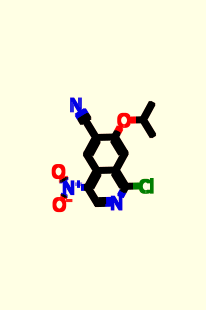 CC(C)Oc1cc2c(Cl)ncc([N+](=O)[O-])c2cc1C#N